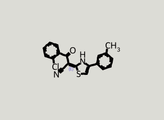 Cc1cccc(C2=CS/C(=C(\C#N)C(=O)c3ccccc3Cl)N2)c1